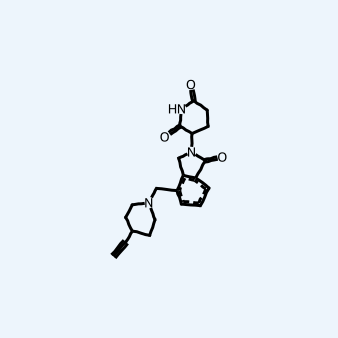 C#CC1CCN(Cc2cccc3c2CN(C2CCC(=O)NC2=O)C3=O)CC1